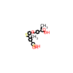 CC#CC(CC(=O)O)c1ccc(COc2ccc3scc(-c4ccc(C5CCS(O)(O)CC5)cc4C)c3c2)cc1